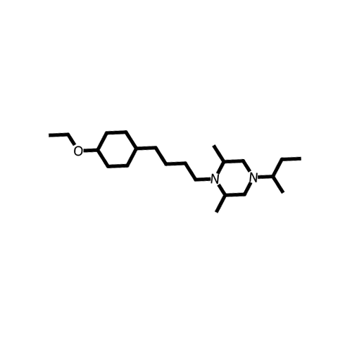 CCOC1CCC(CCCCN2C(C)CN(C(C)CC)CC2C)CC1